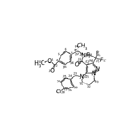 COC(=O)c1ccc([C@H](C)NC(=O)c2c(C(F)(F)F)nn3c2N(Cc2ccc(Cl)cc2)CCC3)cc1